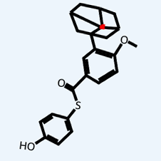 COc1ccc(C(=O)Sc2ccc(O)cc2)cc1C12CC3CC(CC(C3)C1)C2